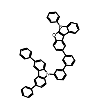 c1ccc(-c2ccc3c(c2)c2cc(-c4ccccc4)ccc2n3-c2cccc(-c3cccc(-c4ccc5oc6c(c5c4)c4ccccc4n6-c4ccccc4)c3)c2)cc1